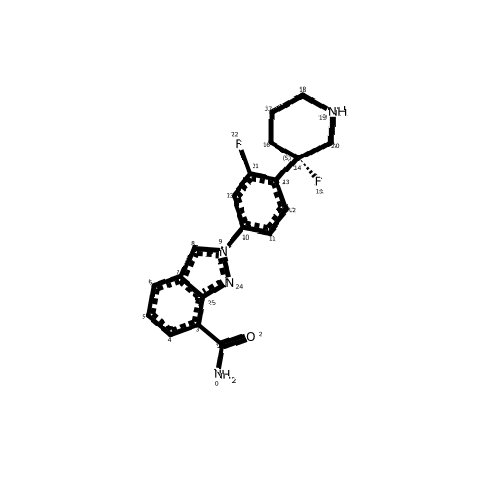 NC(=O)c1cccc2cn(-c3ccc([C@@]4(F)CCCNC4)c(F)c3)nc12